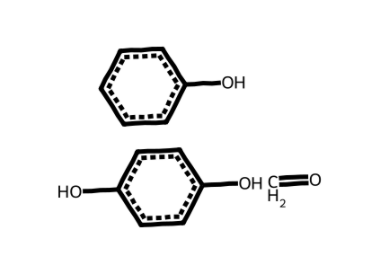 C=O.Oc1ccc(O)cc1.Oc1ccccc1